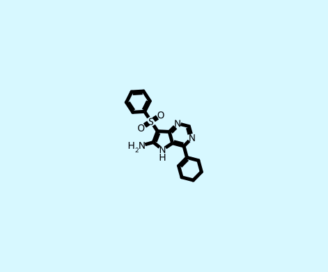 Nc1[nH]c2c(C3=CCCCC3)ncnc2c1S(=O)(=O)c1ccccc1